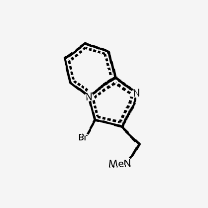 CNCc1nc2ccccn2c1Br